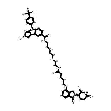 Cn1cc2c3cc(C(=O)NCCOCCOCCNC(=O)CCCCNc4cccc5c4CN(C4CCC(=O)NC4=O)C5=O)ccc3n(-c3ccc(C(F)(F)F)cc3)c2n1